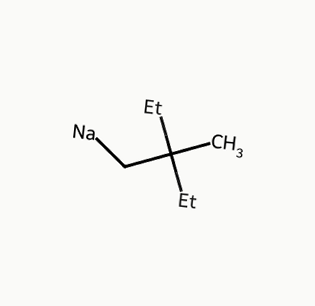 CCC(C)(CC)[CH2][Na]